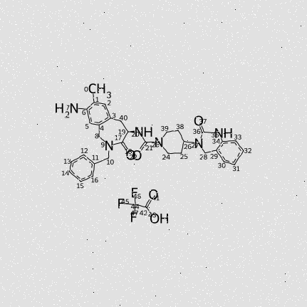 Cc1cc2c(cc1N)CN(Cc1ccccc1)C(=O)[C@H](NC(=O)N1CCC(N3Cc4ccccc4NC3=O)CC1)C2.O=C(O)C(F)(F)F